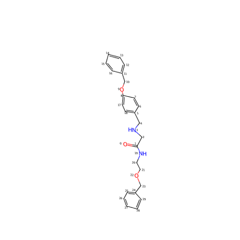 O=C(CNCc1ccc(OCc2ccccc2)cc1)NCCOCc1ccccc1